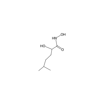 CC(C)CCC(O)C(=O)NO